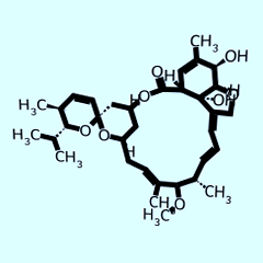 COC1/C(C)=C/C[C@@H]2C[C@@H](C[C@]3(C=C[C@H](C)[C@@H](C(C)C)O3)O2)OC(=O)[C@@H]2C=C(C)[C@@H](O)[C@H]3OC/C(=C\C=C\[C@@H]1C)[C@]32O